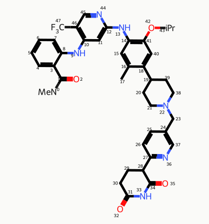 CNC(=O)c1ccccc1Nc1cc(Nc2cc(C)c(C3CCN(Cc4ccc(C5CCC(=O)NC5=O)nc4)CC3)cc2OC(C)C)ncc1C(F)(F)F